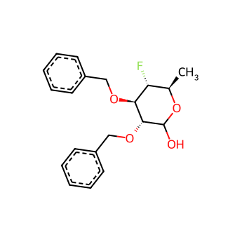 C[C@H]1OC(O)[C@H](OCc2ccccc2)[C@@H](OCc2ccccc2)[C@@H]1F